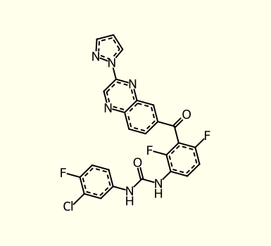 O=C(Nc1ccc(F)c(Cl)c1)Nc1ccc(F)c(C(=O)c2ccc3ncc(-n4cccn4)nc3c2)c1F